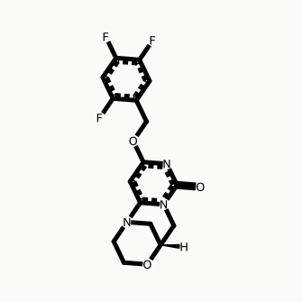 O=c1nc(OCc2cc(F)c(F)cc2F)cc2n1C[C@H]1CN2CCO1